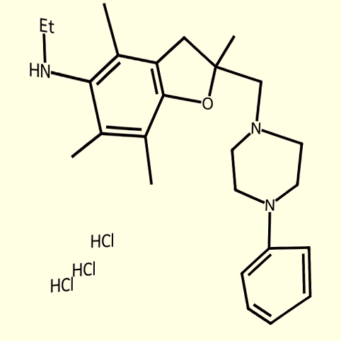 CCNc1c(C)c(C)c2c(c1C)CC(C)(CN1CCN(c3ccccc3)CC1)O2.Cl.Cl.Cl